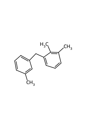 Cc1cccc(Cc2cccc(C)c2C)c1